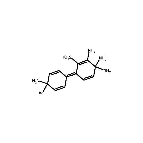 CC(=O)C1(N)C=CC(=C2C=CC(N)(N)C(N)=C2S(=O)(=O)O)C=C1